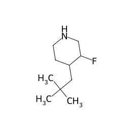 CC(C)(C)CC1CCNCC1F